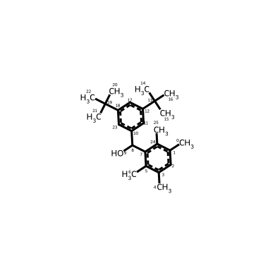 Cc1cc(C)c(C)c(C(O)c2cc(C(C)(C)C)cc(C(C)(C)C)c2)c1C